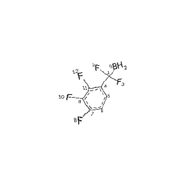 BC(F)(F)c1ccc(F)c(F)c1F